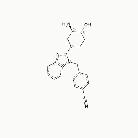 N#Cc1ccc(Cn2c(N3CC[C@@H](O)[C@H](N)C3)nc3ccccc32)cc1